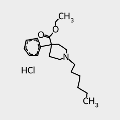 CCCCCCN1CCC(C(=O)OCC)(c2ccccc2)CC1.Cl